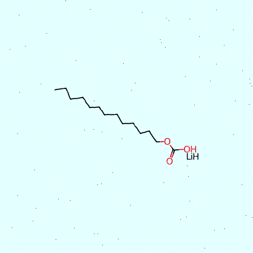 CCCCCCCCCCCCCOC(=O)O.[LiH]